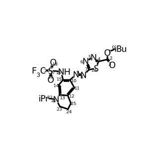 CCC(C)OC(=O)c1nnc(N=Nc2cc3c(cc2NS(=O)(=O)C(F)(F)F)N(C(C)C)CCC3)s1